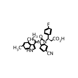 Cc1cc(C)c2c(C(C)n3c(=O)n([C@H](CC(=O)O)c4ccc(F)cc4)c4cc(C#N)ccc43)c[nH]c2c1